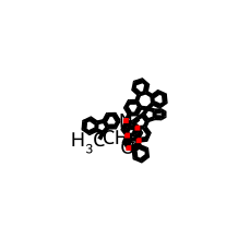 CC1(C)c2ccccc2-c2ccc(N(c3ccc4c(c3)C3(c5ccccc5-c5ccccc5-4)c4ccccc4-c4c3cc3ccc5cccc6ccc4c3c56)c3ccc4c(c3)oc3ccccc34)cc21